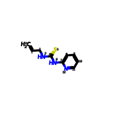 C=CCNC(=S)Nc1ccccn1